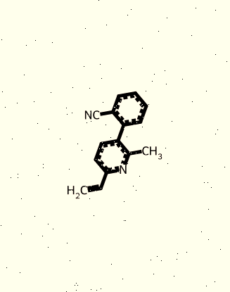 C=Cc1ccc(-c2ccccc2C#N)c(C)n1